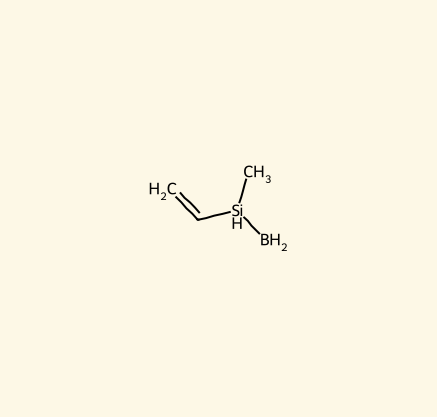 B[SiH](C)C=C